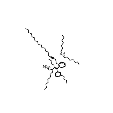 CCCCCCCCCCCCCCCC#CCCc1ccccc1C(=C(CCCC)C(=C=[N+]=[N-])CCCCCCCC)c1cccc(CCCC)c1.CCCCCC[CH2][Pd][CH2]CCCCCC